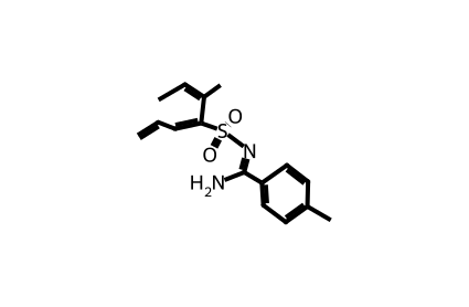 C=C/C=C(\C(C)=C/C)S(=O)(=O)/N=C(\N)c1ccc(C)cc1